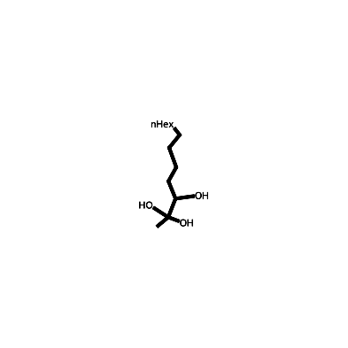 CCCCCCCCCCC(O)C(C)(O)O